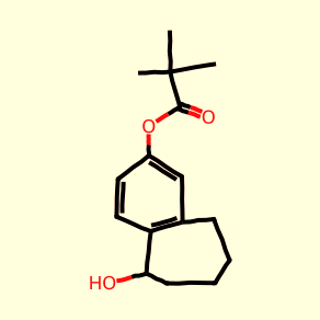 CC(C)(C)C(=O)Oc1ccc2c(c1)CCCCC2O